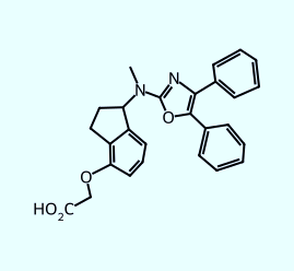 CN(c1nc(-c2ccccc2)c(-c2ccccc2)o1)C1CCc2c(OCC(=O)O)cccc21